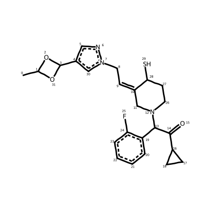 CC1OC(c2cnn(C/C=C3/CN(C(C(=O)C4CC4)c4ccccc4F)CCC3S)c2)O1